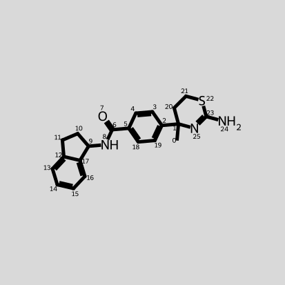 CC1(c2ccc(C(=O)NC3CCc4ccccc43)cc2)CCSC(N)=N1